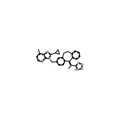 CC(=C1c2ccccc2CCc2cc(Cn3c(C4CC4)nc4c(C)ccnc43)ccc21)c1nnn[nH]1